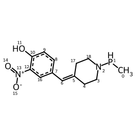 CPN1CCC(=Cc2ccc(O)c([N+](=O)[O-])c2)CC1